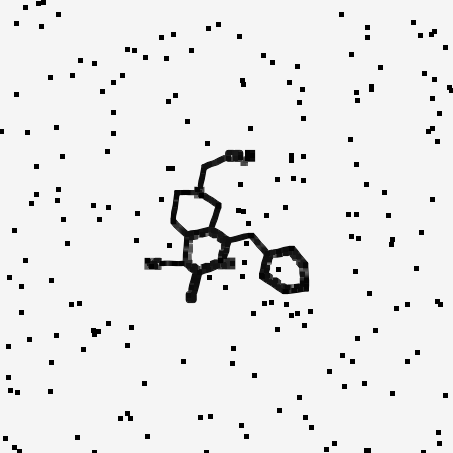 N#Cc1c2c(c(Cc3ccccc3)[nH]c1=O)CN(CC(=O)O)CC2